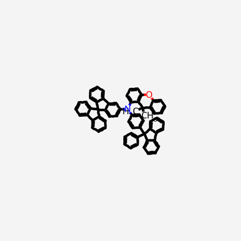 CC1(C)c2ccccc2Oc2cccc(N(c3ccc(C4(c5ccccc5)c5ccccc5-c5ccccc54)cc3)c3ccc4c(c3)-c3ccccc3C43c4ccccc4-c4ccccc43)c21